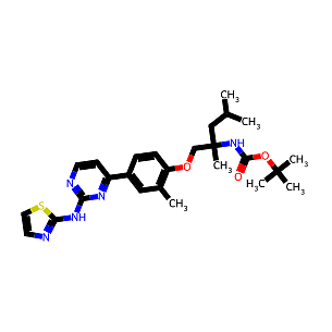 Cc1cc(-c2ccnc(Nc3nccs3)n2)ccc1OCC(C)(CC(C)C)NC(=O)OC(C)(C)C